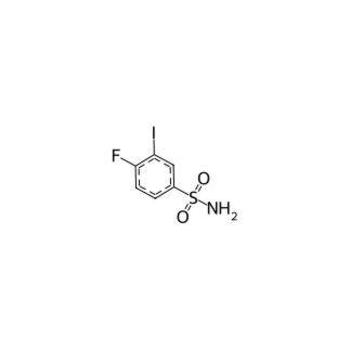 NS(=O)(=O)c1ccc(F)c(I)c1